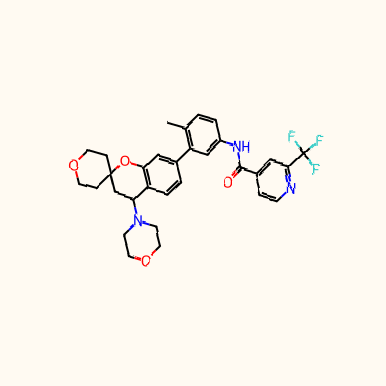 Cc1ccc(NC(=O)c2ccnc(C(F)(F)F)c2)cc1-c1ccc2c(c1)OC1(CCOCC1)CC2N1CCOCC1